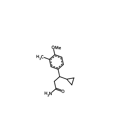 COc1ccc(C(CC(N)=O)C2CC2)cc1C